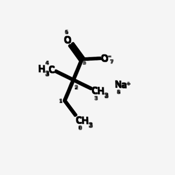 CCC(C)(C)C(=O)[O-].[Na+]